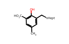 CCCCCCCCc1cc(C)cc(C(=O)O)c1O